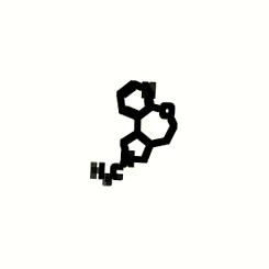 CN1CC2CCOc3ncccc3C2C1